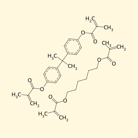 C=C(C)C(=O)OCCCCCCOC(=O)C(=C)C.C=C(C)C(=O)Oc1ccc(C(C)(C)c2ccc(OC(=O)C(=C)C)cc2)cc1